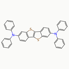 c1ccc(N(c2ccccc2)c2ccc3c(c2)sc2c4ccc(N(c5ccccc5)c5ccccc5)cc4sc32)cc1